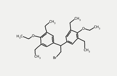 CCOc1c(CC)cc(C(CBr)c2cc(CC)c(OCC)c(CC)c2)cc1CC